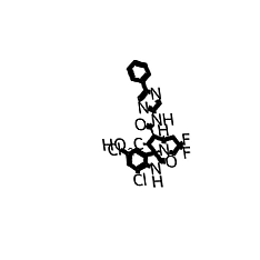 O=C(Nc1cnc(-c2ccccc2)cn1)[C@H]1[C@H]2CC(F)(F)CN2[C@]2(C(=O)Nc3c(Cl)cc(Cl)cc32)[C@H]1C(=O)O